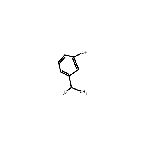 BC(C)c1cccc(O)c1